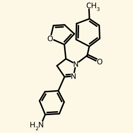 Cc1ccc(C(=O)N2N=C(c3ccc(N)cc3)CC2c2ccco2)cc1